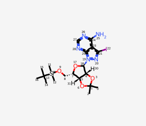 CC1(C)O[C@@H]2[C@H](O1)[C@H](CO[Si](C)(C)C(C)(C)C)O[C@H]2n1nc(I)c2c(N)ncnc21